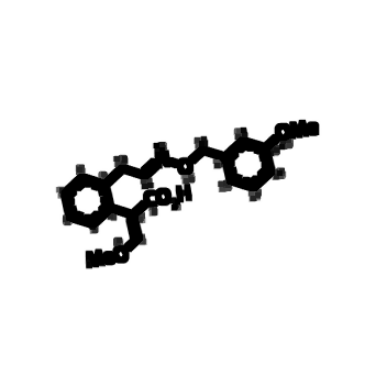 CO/C=C(/C(=O)O)c1ccccc1CC=NOCc1cccc(OC)c1